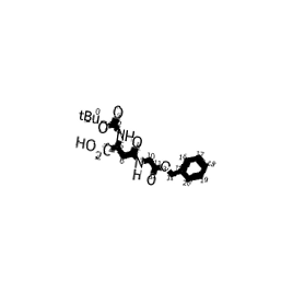 CC(C)(C)OC(=O)NC(CC(=O)NCC(=O)OCc1ccccc1)C(=O)O